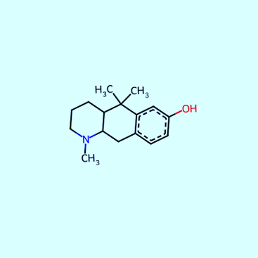 CN1CCCC2C1Cc1ccc(O)cc1C2(C)C